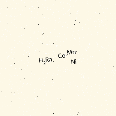 [Co].[Mn].[Ni].[RaH2]